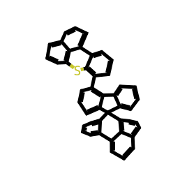 c1ccc2c(c1)-c1c(-c3cccc4c3Sc3cccc5cccc-4c35)cccc1C21c2ccccc2-c2cccc3cccc1c23